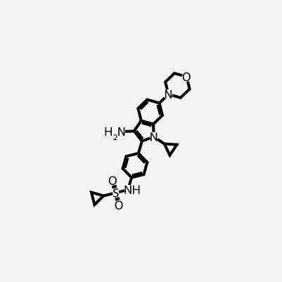 Nc1c(-c2ccc(NS(=O)(=O)C3CC3)cc2)n(C2CC2)c2cc(N3CCOCC3)ccc12